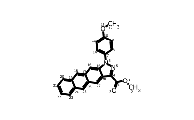 COC(=O)c1nn(-c2ccc(OC)cc2)c2cc3cc4ccccc4cc3cc12